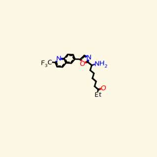 CCC(=O)CCCCCC(N)c1ncc(-c2ccc3nc(C(F)(F)F)ccc3c2)o1